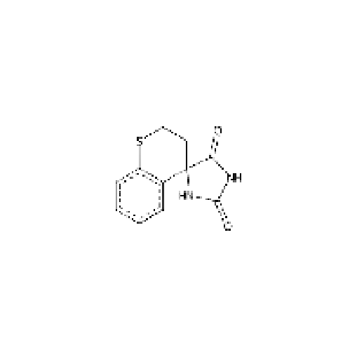 O=C1NC(=O)C2(CCSc3ccccc32)N1